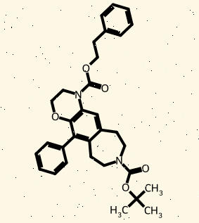 CC(C)(C)OC(=O)N1CCc2cc3c(c(-c4ccccc4)c2CC1)OCCN3C(=O)OCCc1ccccc1